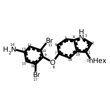 CCCCCCc1c[nH]c2ccc(Oc3c(Br)cc(N)cc3Br)cc12